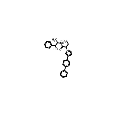 CC(NC(=O)C(CC(=O)O)n1ccc(-c2ccc(-c3ccccc3)cc2)c1)C(O)c1ccccc1